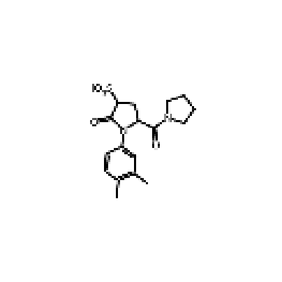 Cc1ccc(N2C(=O)C(S(=O)(=O)O)CC2C(=O)N2CCCC2)cc1C